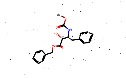 CC(C)(C)OC(=O)N[C@@H](Cc1ccccc1)[C@H](O)C(=O)OCc1ccccc1